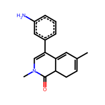 CC1=CCC2C(=O)N(C)C=C(c3cccc(N)c3)C2=C1